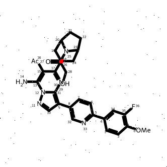 COc1ccc(-c2ccc(-c3cnn4c(N)c(C(C)=O)c(C5CC6CCC(C5)N6C(=O)CO)nc34)cn2)cc1F